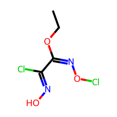 CCOC(=NOCl)C(Cl)=NO